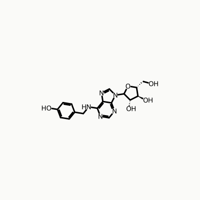 OC[C@H]1OC(n2cnc3c(NCc4ccc(O)cc4)ncnc32)[C@@H](O)[C@@H]1O